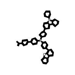 C=C(C)c1ccc(-c2ccc(N(c3ccc(-c4ccc5c(c4)c4ccccc4n5-c4ccccc4)cc3)c3ccc(-c4cccc5c4oc4ccccc45)cc3)cc2)cc1